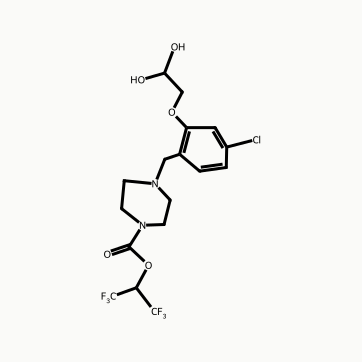 O=C(OC(C(F)(F)F)C(F)(F)F)N1CCN(Cc2ccc(Cl)cc2OCC(O)O)CC1